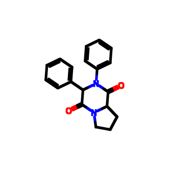 O=C1C(c2ccccc2)N(c2ccccc2)C(=O)C2CCCN12